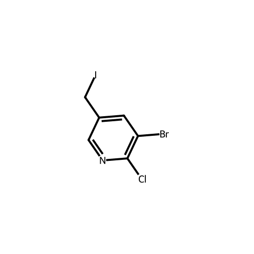 Clc1ncc(CI)cc1Br